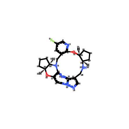 Fc1cnc2c(c1)CN1c3nc4c(cnn4cc3O[C@H]3CCC[C@H]31)CN[C@@H]1CCC[C@@H]1O2